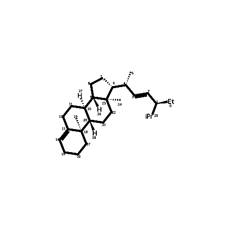 CC[C@H](C=C[C@@H](C)[C@H]1CC[C@H]2[C@@H]3CCC4=CCCC[C@]4(C)[C@H]3CC[C@]12C)C(C)C